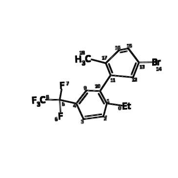 CCc1[c]cc(C(F)(F)C(F)(F)F)cc1-c1cc(Br)ccc1C